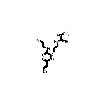 CCCCC=CC(=O)N[C@@H](CCCNC(=N)N[N+](=O)[O-])C(=O)N[CH]CC(C)C